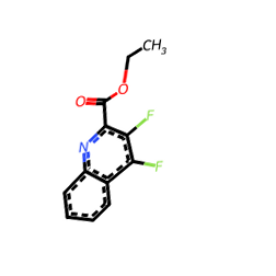 CCOC(=O)c1nc2ccccc2c(F)c1F